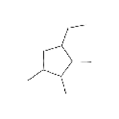 CCC1CC(C)C(C)C1C